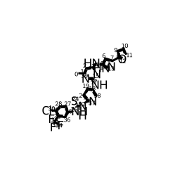 Cc1cc(Nc2cc(-c3ccco3)n[nH]2)nc(Nc2ccc(NC(=S)Nc3ccc(Cl)c(C(F)(F)F)c3)nc2)n1